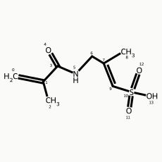 C=C(C)C(=O)NCC(C)=CS(=O)(=O)O